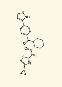 O=C(Nc1nc(C2CC2)ns1)[C@H]1CCCC[C@@H]1C(=O)c1ccc(-c2ccn[nH]2)cc1